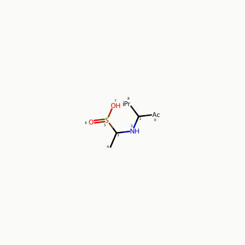 CC(=O)C(NC(C)S(=O)O)C(C)C